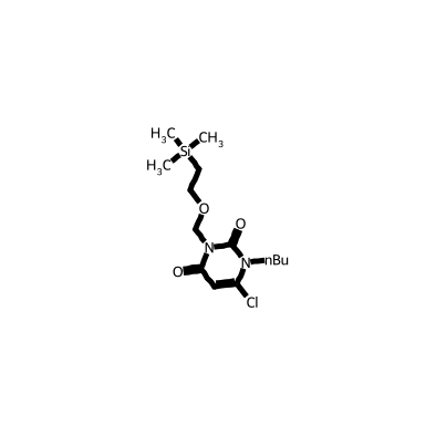 CCCCn1c(Cl)cc(=O)n(COCC[Si](C)(C)C)c1=O